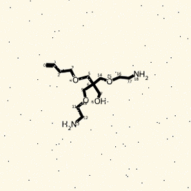 C=CCCOCC(CO)(COCCN)COCCN